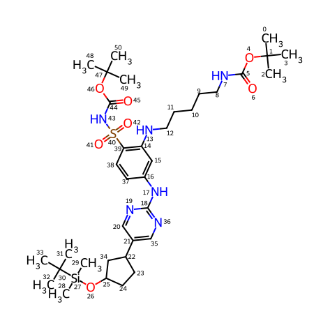 CC(C)(C)OC(=O)NCCCCCNc1cc(Nc2ncc(C3CCC(O[Si](C)(C)C(C)(C)C)C3)cn2)ccc1S(=O)(=O)NC(=O)OC(C)(C)C